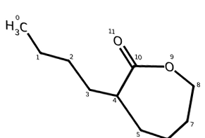 CCCCC1CCCCOC1=O